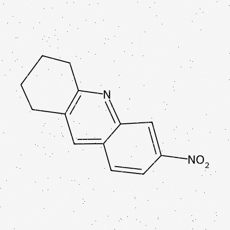 O=[N+]([O-])c1ccc2cc3c(nc2c1)CCCC3